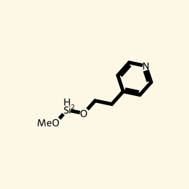 CO[SiH2]OCCc1ccncc1